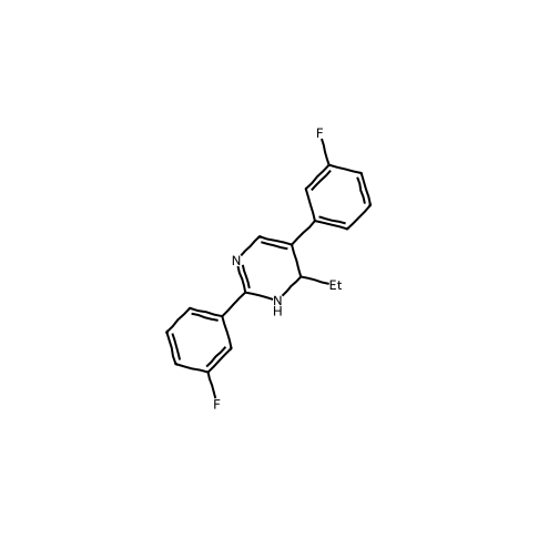 CCC1NC(c2cccc(F)c2)=NC=C1c1cccc(F)c1